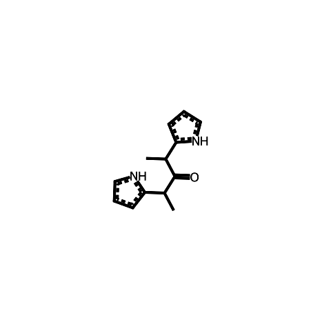 CC(C(=O)C(C)c1ccc[nH]1)c1ccc[nH]1